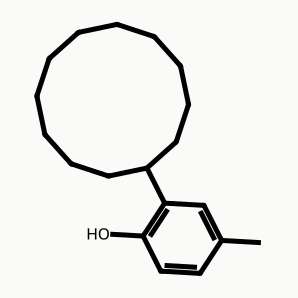 Cc1ccc(O)c(C2CCCCCCCCCCC2)c1